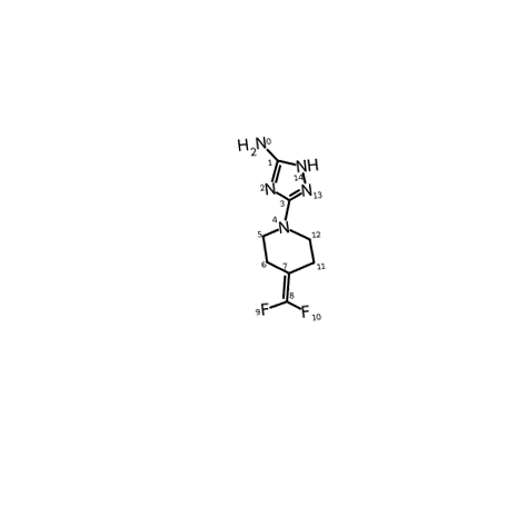 Nc1nc(N2CCC(=C(F)F)CC2)n[nH]1